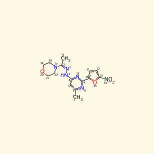 CC(=NNc1cc(C)nc(-c2ccc([N+](=O)[O-])o2)n1)N1CCOCC1